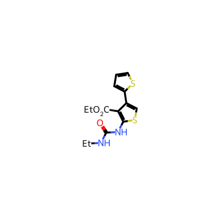 CCNC(=O)Nc1scc(-c2cccs2)c1C(=O)OCC